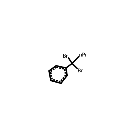 CCCC(Br)(Br)c1ccccc1